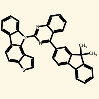 CC1(C)c2ccccc2-c2ccc(-c3nc(-n4c5ccccc5c5ccc6sccc6c54)nc4ccccc34)cc21